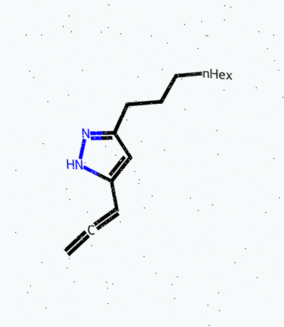 C=C=Cc1cc(CCCCCCCCC)n[nH]1